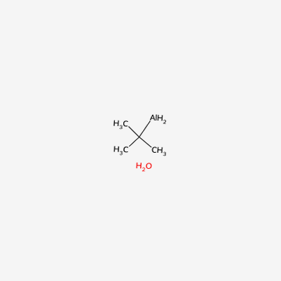 C[C](C)(C)[AlH2].O